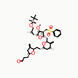 C=C1C[C@H](CCC=O)OC1CC[C@H]1C[C@@H](C)C(=C)C(C[C@@H]2O[C@H](C[C@H](C)CO[Si](C)(C)C(C)(C)C)[C@H](OC)[C@H]2CS(=O)(=O)c2ccccc2)O1